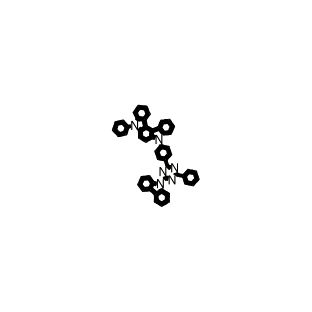 c1ccc(-c2nc(-c3ccc(-n4c5ccccc5c5c6c7ccccc7n(-c7ccccc7)c6ccc54)cc3)nc(-n3c4ccccc4c4ccccc43)n2)cc1